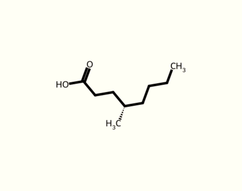 CCCC[C@H](C)CCC(=O)O